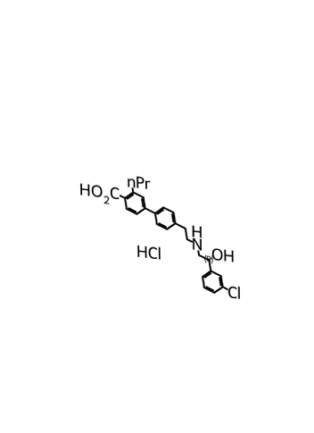 CCCc1cc(-c2ccc(CCNC[C@H](O)c3cccc(Cl)c3)cc2)ccc1C(=O)O.Cl